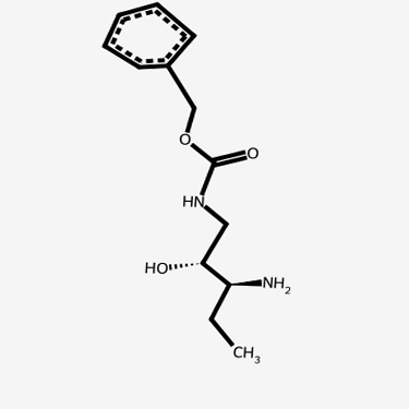 CC[C@H](N)[C@H](O)CNC(=O)OCc1ccccc1